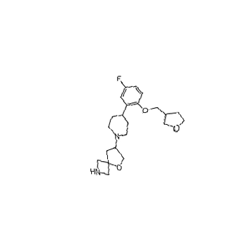 Fc1ccc(OCC2CCOC2)c(C2CCN(C3COC4(CNC4)C3)CC2)c1